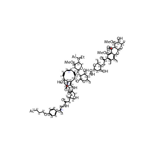 CCN(C(C)=O)[C@H]1CO[C@@H](OC2[C@H](O[C@H]3C#C/C=C\C#CC4(O)CC(=O)C(NC(=O)CO)=C3/C4=C\CSSC(C)(C)CC(=O)N/N=C(\C)c3ccc(OCCCC(C)=O)cc3)OC(C)[C@@H](NO[C@H]3C[C@@H](O)[C@H](SC(=O)c4c(C)c(C)c(O[C@@H]5OC(C)[C@H](O)[C@H](OC)C5O)c(CO)c4OC)C(C)O3)[C@H]2O)C[C@H]1OC